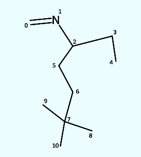 C=NC(CC)CCC(C)(C)C